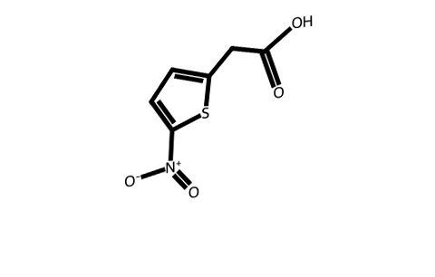 O=C(O)Cc1ccc([N+](=O)[O-])s1